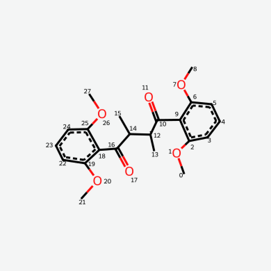 COc1cccc(OC)c1C(=O)[C](C)C(C)C(=O)c1c(OC)cccc1OC